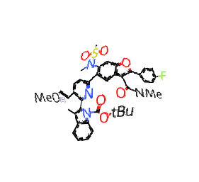 CNC(=O)c1c(-c2ccc(F)cc2)oc2cc(N(C)S(C)(=O)=O)c(-c3ccc(/C=C/OC)c(-c4c(C)c5ccccc5n4C(=O)OC(C)(C)C)n3)cc12